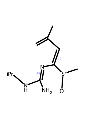 C=C(C)/C=C(\N=C(/N)NC(C)C)[S+](C)[O-]